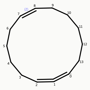 [C]1=C=CCCCC/C=C\CCCCC1